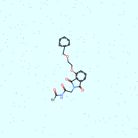 CCC(=O)NC(=O)CN1C(=O)c2cccc(OCCOCc3ccccc3)c2C1=O